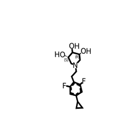 OC1[C@H](O)CN(CCc2c(F)cc(C3CC3)cc2F)C[C@@H]1O